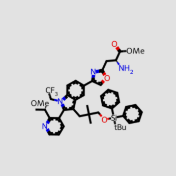 COC(=O)[C@@H](N)Cc1nc(-c2ccc3c(c2)c(CC(C)(C)CO[Si](c2ccccc2)(c2ccccc2)C(C)(C)C)c(-c2cccnc2[C@H](C)OC)n3CC(F)(F)F)co1